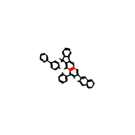 CC1(C)c2ccccc2-c2cccc(N(c3ccc(-c4ccccc4)cc3)c3ccccc3-c3cccc4c3oc3cc5ccccc5cc34)c21